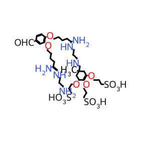 CC1(CNCCCNC(N)CCCCOc2ccc(C=O)cc2OCCCC/C(N)=C/NCCCN)CC(OCCCS(=O)(=O)O)=C(OCCCS(=O)(=O)O)[C@@H](OCCCS(=O)(=O)O)C1